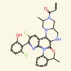 C=CC(=O)N1CC2CNc3c(c4cc(F)c(-c5c(O)cccc5F)nc4n(-c4ccccc4C(C)C)c3=O)N2CC1C